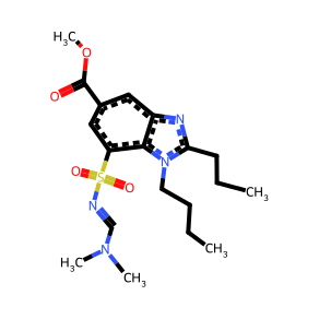 CCCCn1c(CCC)nc2cc(C(=O)OC)cc(S(=O)(=O)N=CN(C)C)c21